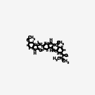 COc1ccc2c(c1)[C@]1(C[C@H]1c1ccc3c(Nc4cc(C(=O)N(C)C)ccc4OC)n[nH]c3c1)C(=O)N2